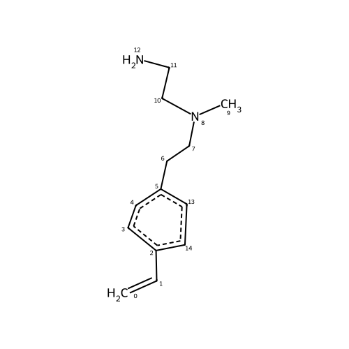 C=Cc1ccc(CCN(C)CCN)cc1